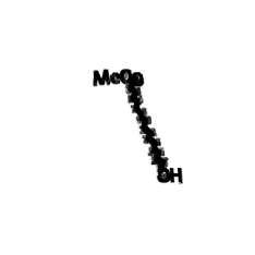 COC(=O)CCCCCCCC=CCCCCCCCCO